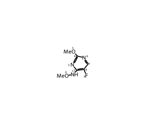 CONc1nc(OC)ncc1F